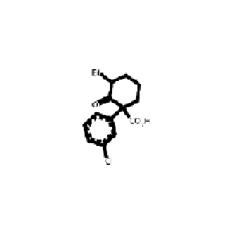 CCC1CCCC(C(=O)O)(c2cccc(Cl)c2)C1=O